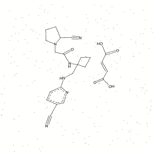 N#Cc1ccc(NCC2(NC(=O)CN3CCCC3C#N)CCC2)nc1.O=C(O)C=CC(=O)O